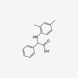 Cc1ccc(NC(C(=O)O)c2ccccc2)c(C)c1